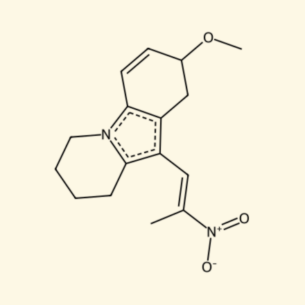 COC1C=Cc2c(c(C=C(C)[N+](=O)[O-])c3n2CCCC3)C1